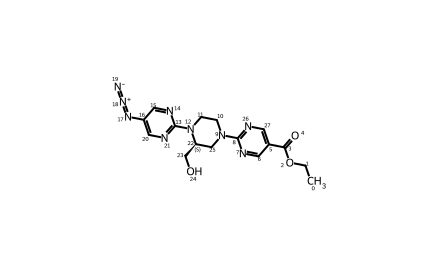 CCOC(=O)c1cnc(N2CCN(c3ncc(N=[N+]=[N-])cn3)[C@H](CO)C2)nc1